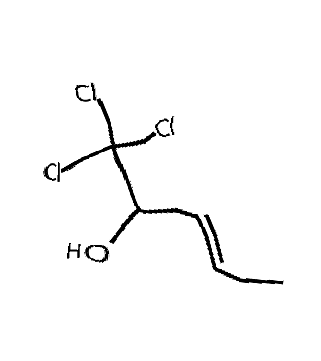 CC=CC(O)C(Cl)(Cl)Cl